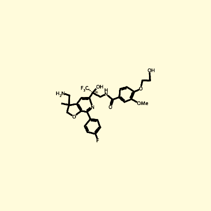 COc1cc(C(=O)NC[C@](O)(c2cc3c(c(-c4ccc(F)cc4)n2)OCC3(C)CN)C(F)(F)F)ccc1OCCO